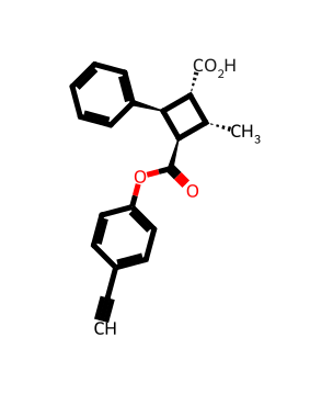 C#Cc1ccc(OC(=O)[C@@H]2[C@@H](C)[C@@H](C(=O)O)[C@@H]2c2ccccc2)cc1